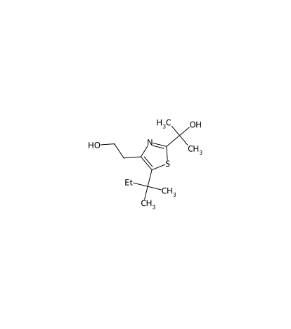 CCC(C)(C)c1sc(C(C)(C)O)nc1CCO